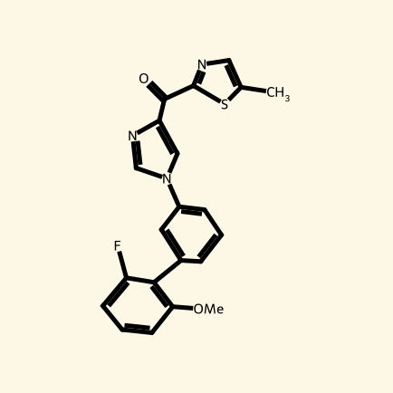 COc1cccc(F)c1-c1cccc(-n2cnc(C(=O)c3ncc(C)s3)c2)c1